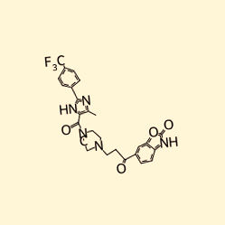 Cc1nc(-c2ccc(C(F)(F)F)cc2)[nH]c1C(=O)N1CCN(CCC(=O)c2ccc3[nH]c(=O)oc3c2)CC1